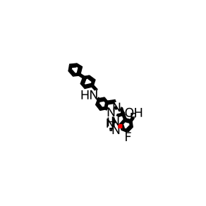 OC(CN1C=C2C=C(NCc3ccc(-c4ccccc4)cc3)C=CC2N1)(Cn1cncn1)c1ccc(F)cc1F